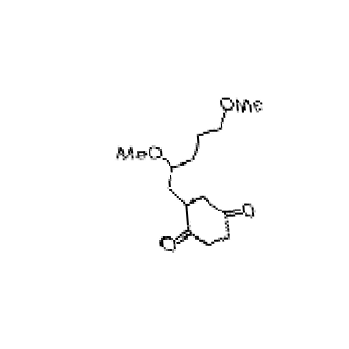 COCCCC(CC1CC(=O)CCC1=O)OC